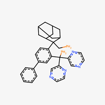 PCC1(c2ccc(-c3ccccc3)cc2C(P)(c2cnccn2)c2cnccn2)C2CC3CC(C2)CC1C3